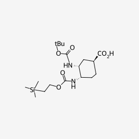 CC(C)(C)OC(=O)N[C@@H]1C[C@@H](C(=O)O)CC[C@@H]1NC(=O)OCC[Si](C)(C)C